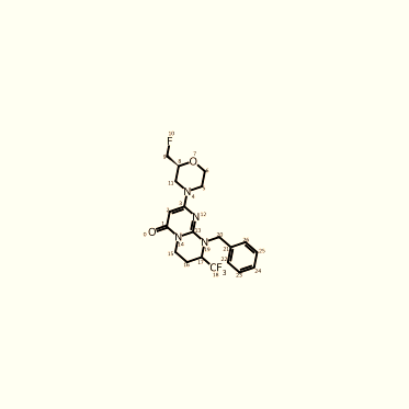 O=c1cc(N2CCO[C@H](CF)C2)nc2n1CCC(C(F)(F)F)N2Cc1ccccc1